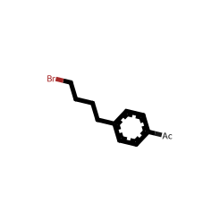 CC(=O)c1ccc(CCCCBr)cc1